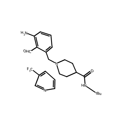 CC(C)(C)NC(=O)C1CCN(Cc2cccc(N)c2C=O)CC1.FC(F)(F)c1cccnc1